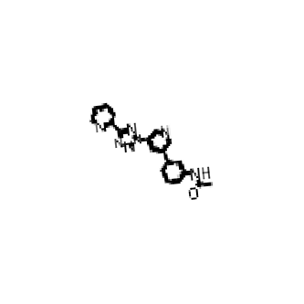 CC(=O)Nc1cccc(-c2cncc(-n3nnc(-c4ccccn4)n3)c2)c1